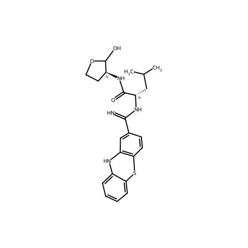 CC(C)C[C@H](NC(=N)c1ccc2c(c1)Nc1ccccc1S2)C(=O)N[C@H]1CCOC1O